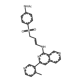 CC(=O)Nc1ccc(S(=O)(=O)CC=CNc2nc(-c3cnccc3C)cc3ccncc23)cc1